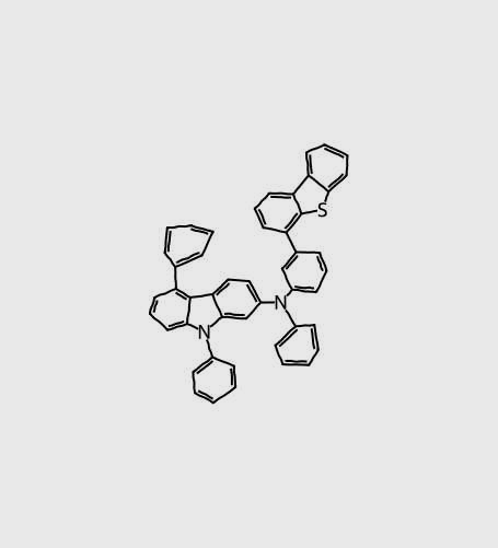 c1ccc(-c2cccc3c2c2ccc(N(c4ccccc4)c4cccc(-c5cccc6c5sc5ccccc56)c4)cc2n3-c2ccccc2)cc1